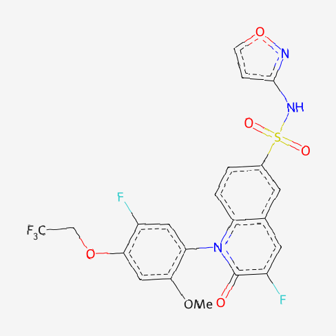 COc1cc(OCC(F)(F)F)c(F)cc1-n1c(=O)c(F)cc2cc(S(=O)(=O)Nc3ccon3)ccc21